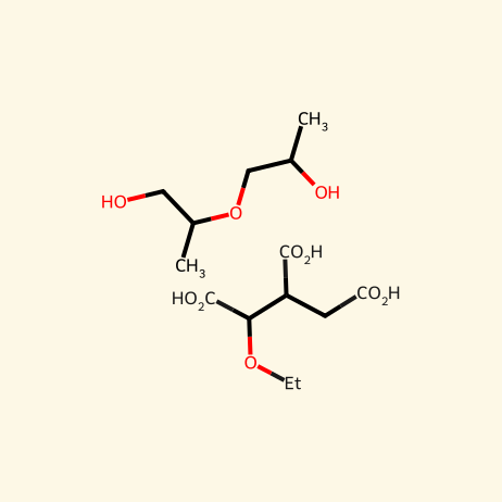 CC(O)COC(C)CO.CCOC(C(=O)O)C(CC(=O)O)C(=O)O